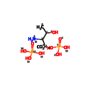 CC(O)C(N)C(=O)O.O=P(O)(O)O.O=P(O)(O)O